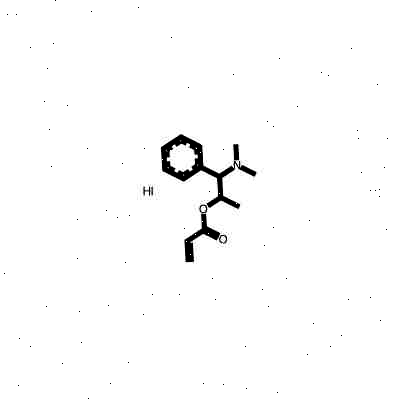 C=CC(=O)OC(C)C(c1ccccc1)N(C)C.I